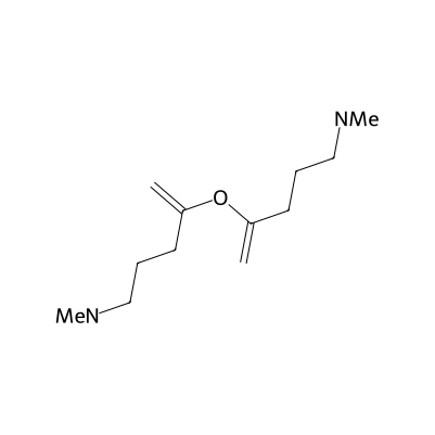 C=C(CCCNC)OC(=C)CCCNC